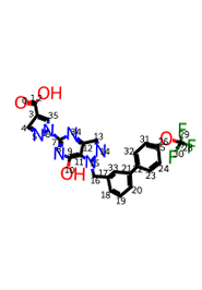 O=C(O)c1cnn(-c2nc(O)c3c(cnn3Cc3cccc(-c4ccc(OC(F)(F)F)cc4)c3)n2)c1